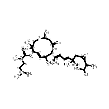 CCC(O)C(C)C1OC1CC(C)(O)/C=C/C=C(\C)[C@H]1OC(=O)CC(O)CCC(C)(OC)[C@@H](OC(=O)N(C)CCN(C)C)/C=C/C1C